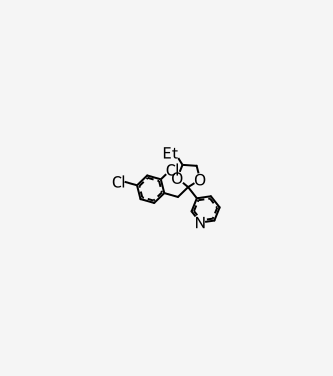 CCC1COC(Cc2ccc(Cl)cc2Cl)(c2cccnc2)O1